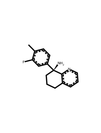 Cc1ccc([C@@]2(N)CCCc3cccnc32)cc1F